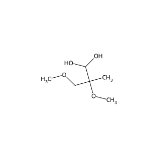 COCC(C)(OC)C(O)O